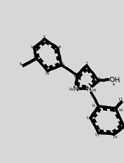 Cc1cccc(-c2cc(O)n(-c3ccccc3C)n2)c1